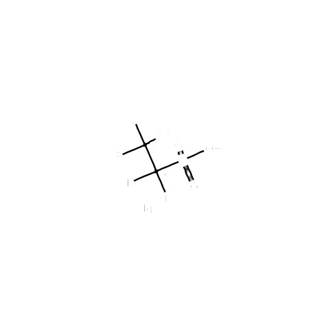 O=S(=O)(O)C(F)(F)C(F)(F)F.[Hg]